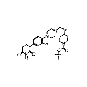 C[C@@H](CN1CCN(c2ccc(C3CCC(=O)NC3=O)cc2F)CC1)C1CCN(C(=O)OC(C)(C)C)CC1